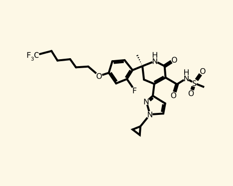 C[C@@]1(c2ccc(OCCCCCC(F)(F)F)cc2F)CC(c2ccn(C3CC3)n2)=C(C(=O)NS(C)(=O)=O)C(=O)N1